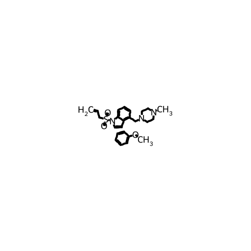 C=CCS(=O)(=O)n1ccc2c(CN3CCN(C)CC3)cccc21.COc1ccccc1